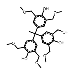 COCc1cc(C(C)(c2cc(COC)c(O)c(COC)c2)c2cc(COC)c(O)c(COC)c2)cc(CO)c1O